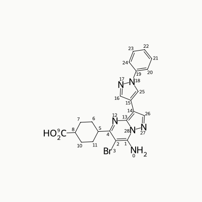 Nc1c(Br)c(C2CCC(C(=O)O)CC2)nc2c(-c3cnn(-c4ccccc4)c3)cnn12